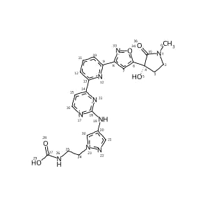 CN1CC[C@@](O)(c2cc(-c3cccc(-c4ccnc(Nc5cnn(CCNC(=O)O)c5)n4)n3)no2)C1=O